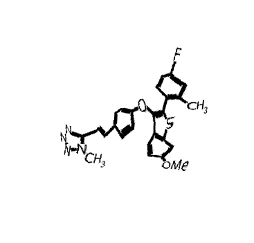 COc1ccc2c(Oc3ccc(/C=C/c4nnnn4C)cc3)c(-c3ccc(F)cc3C)sc2c1